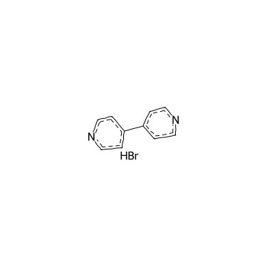 Br.c1cc(-c2ccncc2)ccn1